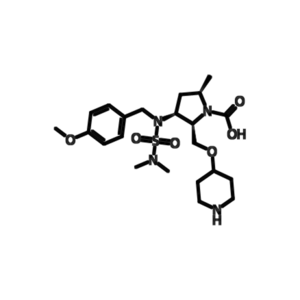 COc1ccc(CN([C@H]2C[C@@H](C)N(C(=O)O)[C@H]2COC2CCNCC2)S(=O)(=O)N(C)C)cc1